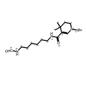 CC1(C)CCN(C(C)(C)C)C=C1C(=O)NCCCCCCNC=O